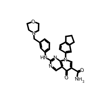 NC(=O)c1cn(-c2ccc3c(c2)CCC3)c2nc(Nc3cccc(CN4CCOCC4)c3)ncc2c1=O